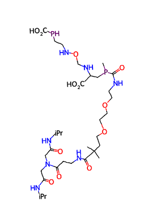 CC(C)NC(=O)CN(CC(=O)NC(C)C)C(=O)CCNC(=O)C(C)(C)CCOCCOCCNC(=O)P(C)CC(NCONCCPC(=O)O)C(=O)O